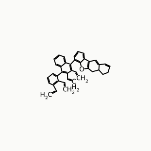 C=Cc1cccc(-c2c(C=C)c(C=C)c(-c3cccc4c5c(oc34)CC3CCC=CC3=C5)c3ccccc23)c1C=C